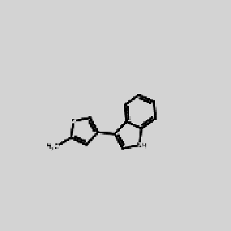 Cc1cc(-c2c[nH]c3ccccc23)cs1